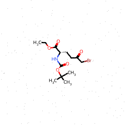 CCOC(=O)[C@H](CCC(=O)CBr)NC(=O)OC(C)(C)C